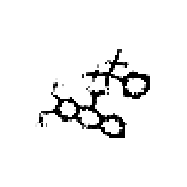 COc1cc2nc3ccccc3c(C(=O)OC(c3ccccc3)(C(F)(F)F)C(F)(F)F)c2cc1OC